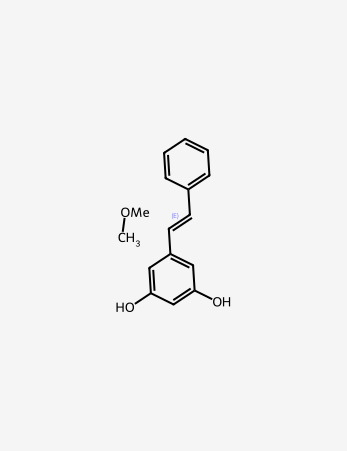 COC.Oc1cc(O)cc(/C=C/c2ccccc2)c1